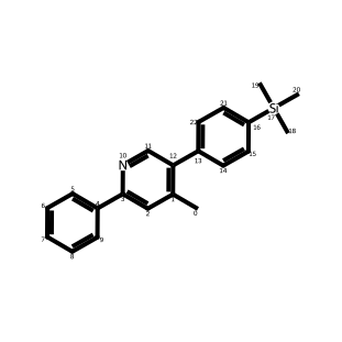 Cc1cc(-c2ccccc2)ncc1-c1ccc([Si](C)(C)C)cc1